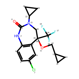 O=C1Nc2ccc(Cl)cc2[C@@](OCC2CC2)(C(F)(F)F)CN1C1CC1